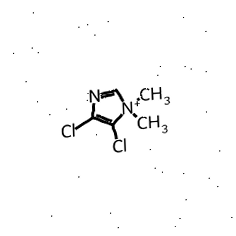 C[N+]1(C)C=NC(Cl)=C1Cl